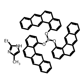 CCc1nc(C)c[nH]1.c1ccc2cc3c(ccc4cccc(OB(Oc5cccc6ccc7cc8ccccc8cc7c56)Oc5cccc6ccc7cc8ccccc8cc7c56)c43)cc2c1